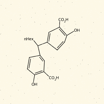 CCCCCCC(c1ccc(O)c(C(=O)O)c1)c1ccc(O)c(C(=O)O)c1